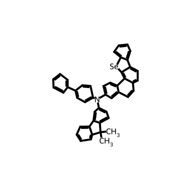 CC1(C)c2ccccc2-c2cc(N(c3ccc(-c4ccccc4)cc3)c3ccc4c(ccc5ccc6c7ccccc7[se]c6c54)c3)ccc21